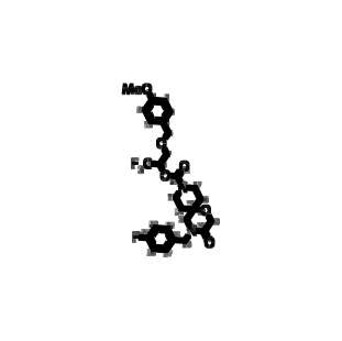 COc1ccc(COCC(OC(=O)N2CCC3(CC2)CN(Cc2ccc(F)cc2)C(=O)CO3)C(F)(F)F)cc1